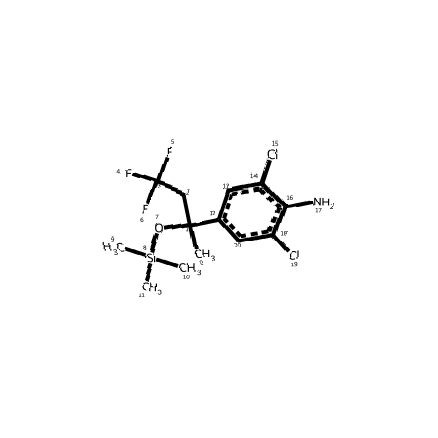 CC(CC(F)(F)F)(O[Si](C)(C)C)c1cc(Cl)c(N)c(Cl)c1